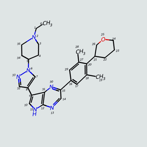 CCN1CCC(n2cc(-c3c[nH]c4ncc(-c5cc(C)c(C6CCCOC6)c(C)c5)nc34)cn2)CC1